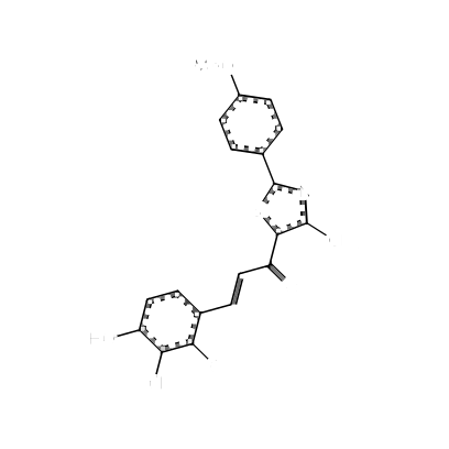 COc1ccc(-c2nc(C)c(C(=O)/C=C/c3ccc(O)c(Cl)c3Cl)s2)cc1